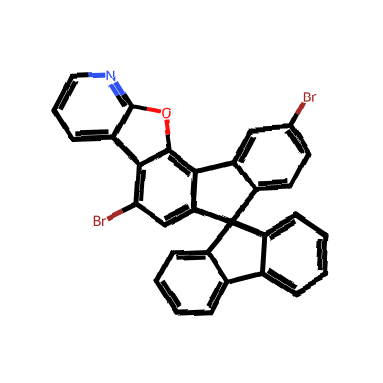 Brc1ccc2c(c1)-c1c(cc(Br)c3c1oc1ncccc13)C21c2ccccc2-c2ccccc21